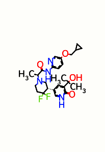 C[C@@H](C(=O)Nc1ccc(OCC2CC2)cn1)N1CCC(F)(F)[C@@H](c2c[nH]c(=O)c(C(C)(C)O)c2)C1